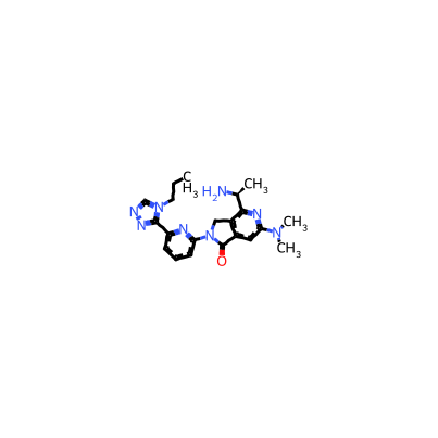 CCCn1cnnc1-c1cccc(N2Cc3c(cc(N(C)C)nc3[C@H](C)N)C2=O)n1